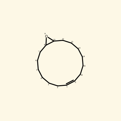 C1=CCCCCCCC2OC2CCCCCC1